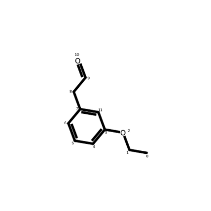 CCOc1cccc(CC=O)c1